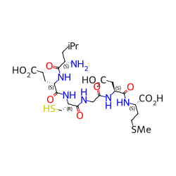 CSCC[C@H](NC(=O)[C@H](CC(=O)O)NC(=O)CNC(=O)[C@H](CS)NC(=O)[C@H](CCC(=O)O)NC(=O)[C@@H](N)CC(C)C)C(=O)O